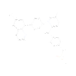 Cc1ccc(/C(=C\c2cccc(-c3cc(C(C)C)cc4cccnc34)c2)c2ccc(C[SH](=O)=O)cc2)nc1